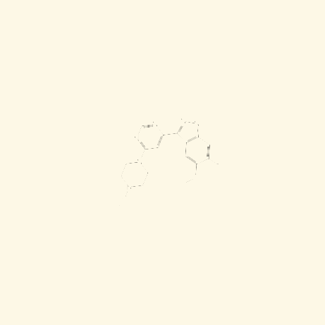 CCOC(=O)N1CCN(c2cc(-c3n[nH]c4cc(F)c(OC(C)C)cc34)ncn2)CC1